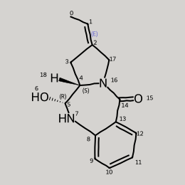 C/C=C1\C[C@H]2[C@@H](O)Nc3ccccc3C(=O)N2C1